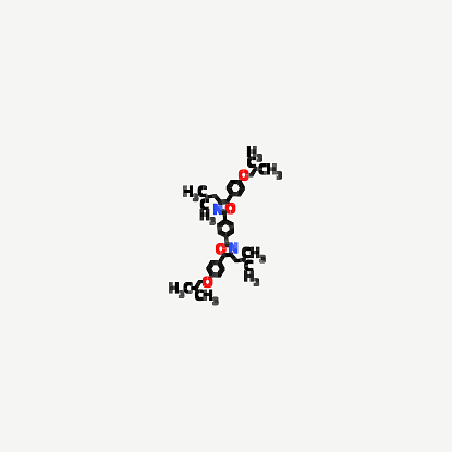 CC(C)COc1ccc(-c2oc(-c3ccc(-c4nc(CC(C)C)c(-c5ccc(OCC(C)C)cc5)o4)cc3)nc2CC(C)C)cc1